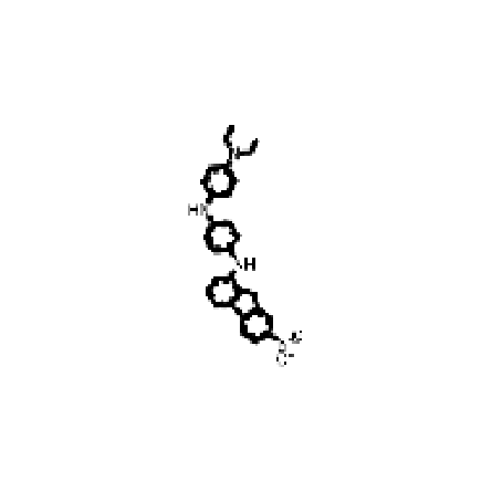 CCN(CC)c1ccc(Nc2ccc(Nc3cccc4c3Cc3cc([N+](=O)[O-])ccc3-4)cc2)cc1